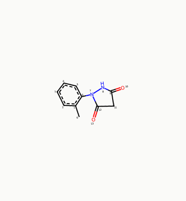 Cc1ccccc1N1NC(=O)CC1=O